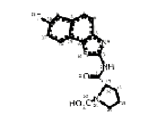 O=C(Nc1nc2ccc3cc(F)ccc3c2s1)[C@@H]1CCCN1C(=O)O